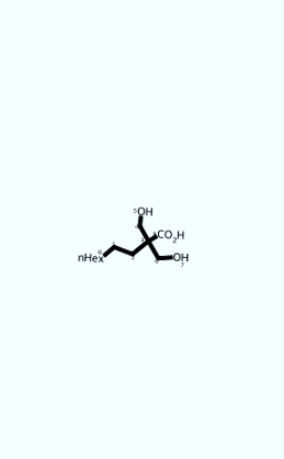 CCCCCCCCC(CO)(CO)C(=O)O